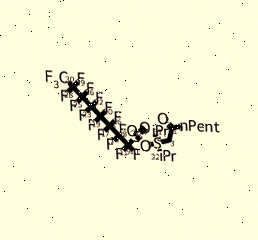 CCCCCC(=O)CS(OS(=O)(=O)C(F)(F)C(F)(F)C(F)(F)C(F)(F)C(F)(F)C(F)(F)C(F)(F)C(F)(F)F)(C(C)C)C(C)C